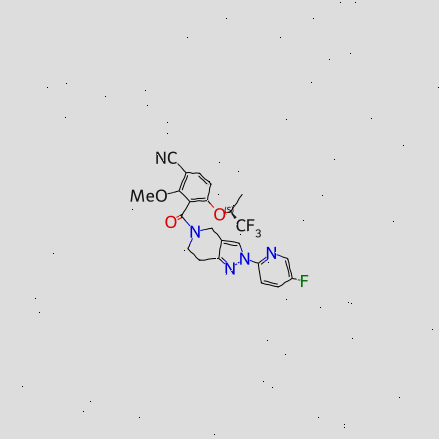 COc1c(C#N)ccc(O[C@@H](C)C(F)(F)F)c1C(=O)N1CCc2nn(-c3ccc(F)cn3)cc2C1